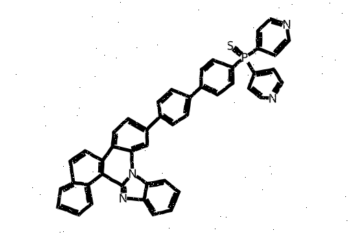 S=P(c1ccncc1)(c1ccncc1)c1ccc(-c2ccc(-c3ccc4c5ccc6ccccc6c5c5nc6ccccc6n5c4c3)cc2)cc1